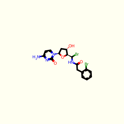 Nc1ccn([C@H]2C[C@H](O)[C@@H](C(Br)NC(=O)Cc3ccccc3Br)O2)c(=O)n1